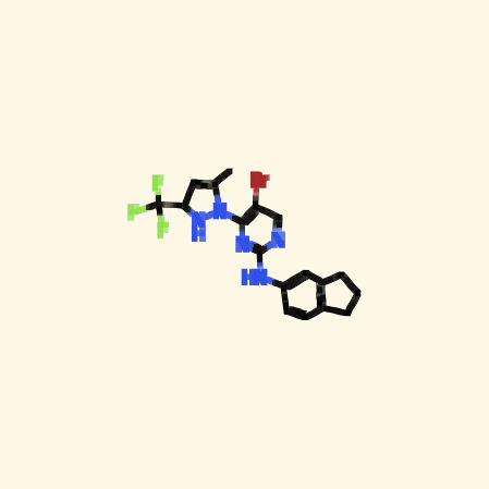 CC1=CC(C(F)(F)F)NN1c1nc(Nc2ccc3c(c2)CCC3)ncc1Br